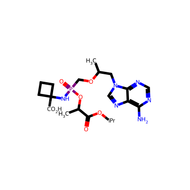 CC(C)OC(=O)C(C)OP(=O)(COC(C)Cn1cnc2c(N)ncnc21)NC1(C(=O)O)CCC1